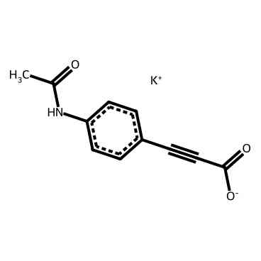 CC(=O)Nc1ccc(C#CC(=O)[O-])cc1.[K+]